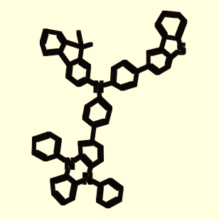 CC1(C)c2ccccc2-c2ccc(N(c3ccc(-c4ccc5c(c4)N(c4ccccc4)c4ccccc4N5c4ccccc4)cc3)c3ccc(-c4ccc5sc6ccccc6c5c4)cc3)cc21